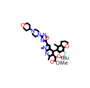 COC(=O)[C@@H](OC(C)(C)C)c1c(C)nc2c(cc(-c3nc(N4CCN(C5CCOCC5)CC4)no3)n2C)c1-c1cc(F)c2c(c1C)CCCO2